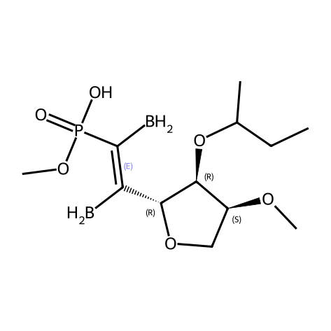 B/C(=C(/B)P(=O)(O)OC)[C@H]1OC[C@H](OC)[C@@H]1OC(C)CC